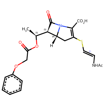 CC(=O)N/C=C/SC1=C(C(=O)O)N2C(=O)[C@H]([C@H](C)OC(=O)COc3ccccc3)[C@H]2C1